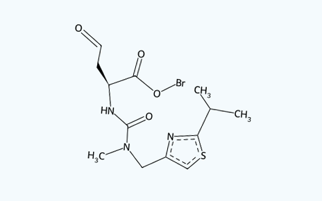 CC(C)c1nc(CN(C)C(=O)N[C@@H](CC=O)C(=O)OBr)cs1